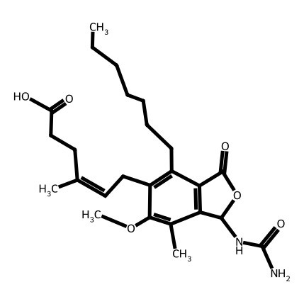 CCCCCCCc1c(CC=C(C)CCC(=O)O)c(OC)c(C)c2c1C(=O)OC2NC(N)=O